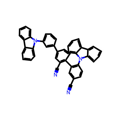 N#Cc1ccc(-n2c3ccccc3c3ccccc32)c(-c2ccc(-c3cccc(-n4c5ccccc5c5ccccc54)c3)cc2C#N)c1